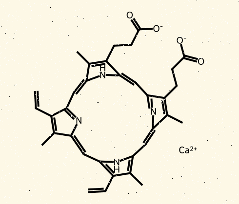 C=CC1=C(C)c2cc3[nH]c(cc4nc(cc5[nH]c(cc1n2)c(C)c5CCC(=O)[O-])C(CCC(=O)[O-])=C4C)c(C)c3C=C.[Ca+2]